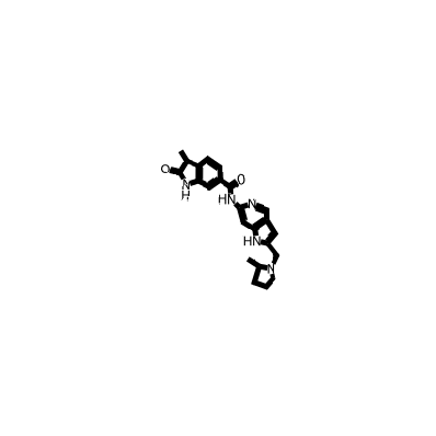 CC1C(=O)Nc2cc(C(=O)Nc3cc4[nH]c(CN5CCCC5C)cc4cn3)ccc21